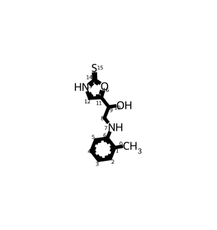 Cc1ccccc1NCC(O)c1c[nH]c(=S)o1